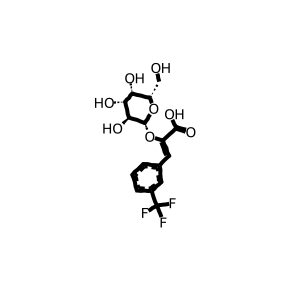 O=C(O)/C(=C/c1cccc(C(F)(F)F)c1)O[C@H]1O[C@@H](CO)[C@@H](O)[C@@H](O)[C@@H]1O